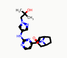 CC(C)(O)Cn1cc(Nc2nccc(C3=CC4CCC(C3)N4C=O)n2)cn1